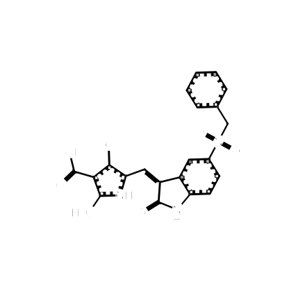 Cc1[nH]c(/C=C2\C(=O)Nc3ccc(S(=O)(=O)Cc4ccccc4)cc32)c(C)c1C(=O)O